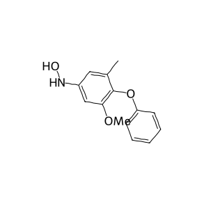 COc1cc(NO)cc(C)c1Oc1ccccc1